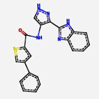 O=C(Nc1c[nH]nc1-c1nc2ccccc2[nH]1)c1cc(-c2ccccc2)cs1